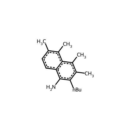 CCCCc1c(C)c(C)c2c(C)c(C)ccc2c1N